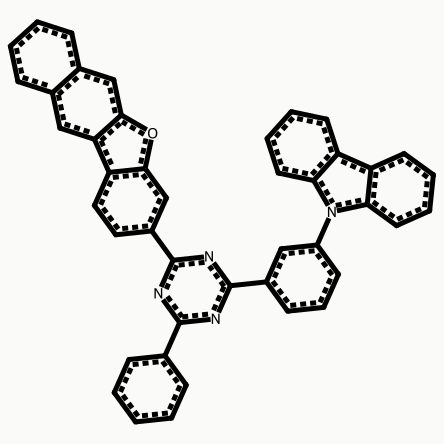 c1ccc(-c2nc(-c3cccc(-n4c5ccccc5c5ccccc54)c3)nc(-c3ccc4c(c3)oc3cc5ccccc5cc34)n2)cc1